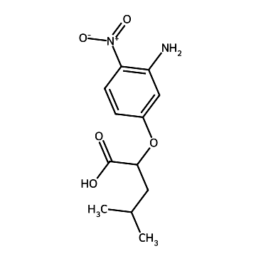 CC(C)CC(Oc1ccc([N+](=O)[O-])c(N)c1)C(=O)O